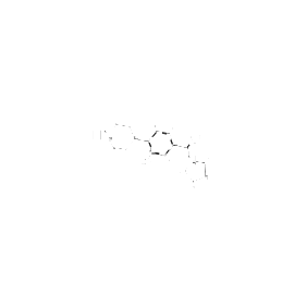 O=C(c1ccc(C2CCNCC2)c(F)c1)N1CCCC1